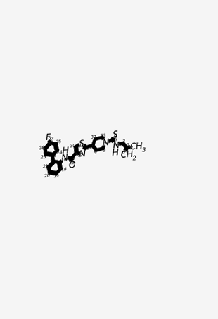 C=C(C)CNC(=S)N1CCC(c2nc(C(=O)Nc3ccccc3-c3ccc(F)cc3)cs2)CC1